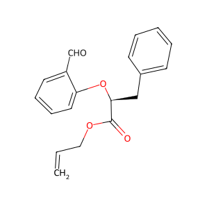 C=CCOC(=O)[C@H](Cc1ccccc1)Oc1ccccc1C=O